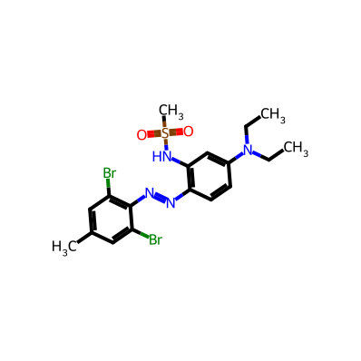 CCN(CC)c1ccc(N=Nc2c(Br)cc(C)cc2Br)c(NS(C)(=O)=O)c1